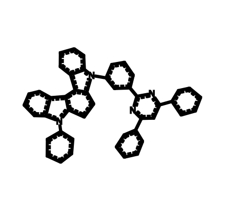 c1ccc(-c2cc(-c3ccccc3)nc(-c3cccc(-n4c5ccccc5c5c6c7ccccc7n(-c7ccccc7)c6ccc54)c3)n2)cc1